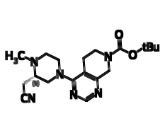 CN1CCN(c2ncnc3c2CCN(C(=O)OC(C)(C)C)C3)C[C@@H]1CC#N